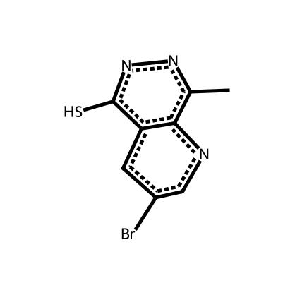 Cc1nnc(S)c2cc(Br)cnc12